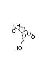 CC(=O)c1ccc(COC=O)c(OCCCCO)c1